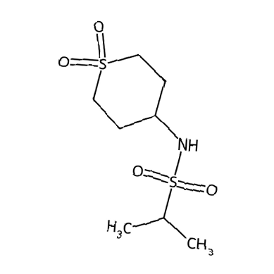 CC(C)S(=O)(=O)NC1CCS(=O)(=O)CC1